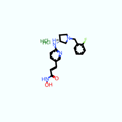 Cl.Cl.O=C(C=Cc1ccc(N[C@@H]2CCN(Cc3ccccc3F)C2)nc1)NO